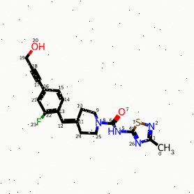 Cc1nsc(NC(=O)N2CCC(=Cc3ccc(C#CCO)cc3F)CC2)n1